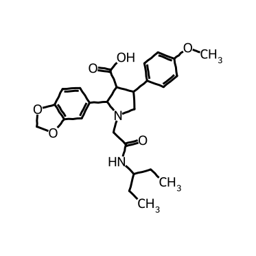 CCC(CC)NC(=O)CN1CC(c2ccc(OC)cc2)C(C(=O)O)C1c1ccc2c(c1)OCO2